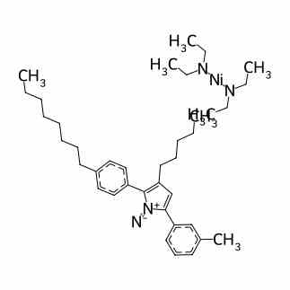 CCCCCCCCc1ccc(C2=C(CCCCC)C=C(c3cccc(C)c3)[N+]2=[N-])cc1.CC[N](CC)[Ni][N](CC)CC